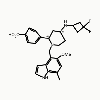 COc1cc(C)c2[nH]ccc2c1CN1CC[C@H](NC2CC(F)(F)C2)C[C@@H]1c1ccc(C(=O)O)cc1